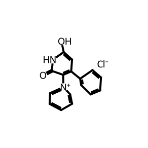 O=c1[nH]c(O)cc(-c2ccccc2)c1-[n+]1ccccc1.[Cl-]